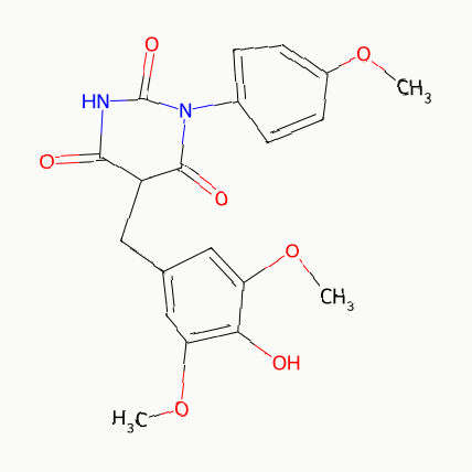 COc1ccc(N2C(=O)NC(=O)C(Cc3cc(OC)c(O)c(OC)c3)C2=O)cc1